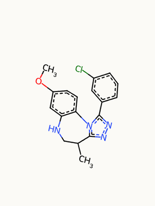 COc1ccc2c(c1)NCC(C)c1nnc(-c3cccc(Cl)c3)n1-2